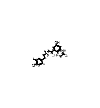 Cc1cc(CC[N+](C)(C)CC(O)c2cc(O)cc3c2OCC(=O)N3)ccc1Cl